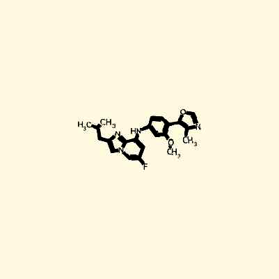 COc1cc(Nc2cc(F)cn3cc(CC(C)C)nc23)ccc1-c1ocnc1C